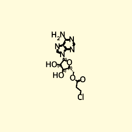 Nc1ncnc2c1ncn2[C@@H]1O[C@H](COC(=O)CCCl)[C@@H](O)[C@H]1O